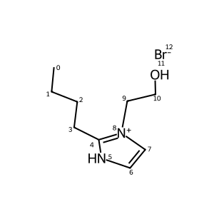 CCCCc1[nH]cc[n+]1CCO.[Br-]